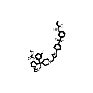 C=CC(=O)Nc1cccc(C(F)(F)c2ccc(N3CC(CN4CCC([C@@](CN5CCC5)(c5cccc(F)c5)[C@H]5CCC[C@@H]5NC(=O)OC)CC4)C3)cc2)c1